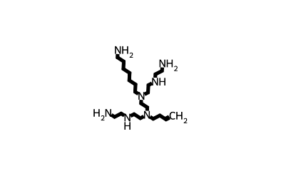 C=CCCN(CCNCCN)CCN(CCCCCCCN)CCNCCN